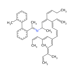 C=C/C(C)=C/C=C(/C=C\C=C(/C=C)C(=CC(C)/N=C(\C)c1ccccc1-c1ccccc1C)/C=C\CC)\C=C(C)\C=C/C